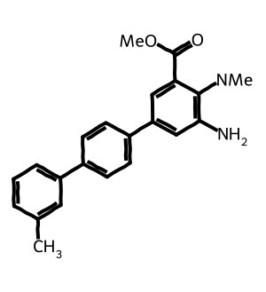 CNc1c(N)cc(-c2ccc(-c3cccc(C)c3)cc2)cc1C(=O)OC